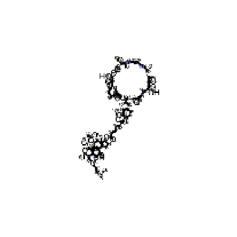 COC[C@H]1OC(=O)/C(=C/N(C)CCCN(C)C)C2=C(O)C(=O)C3=C([C@H](OC(C)=O)C[C@@]4(C)C3CC[C@@H]4OC(=O)CCCCC(=O)O[C@@H]3CC[C@@H](C[C@@H](C)[C@@H]4CC(=O)[C@H](C)/C=C(\C)[C@@H](O)[C@@H](OC)C(=O)[C@H](C)C[C@H](C)/C=C/C=C/C=C(\C)[C@@H](OC)CCO[C@@H](O)C(=O)C(=O)N5CCCC[C@H]5C(=O)O4)C[C@H]3OC)[C@]21C